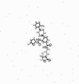 Cc1ccc(C(=O)Nc2cc(C(=O)NCCCN3C(=O)OCC3(C)C)ccc2N2CCN(c3ccccc3C)CC2)o1